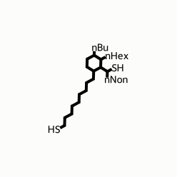 CCCCCCCCCC(S)C1C(CCCCCCCCCS)CCC(CCCC)C1CCCCCC